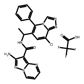 CC(NC(=O)c1c(N)nn2cccnc12)c1cc(Cl)c2nncn2c1-c1ccccc1.O=C(O)C(F)(F)F